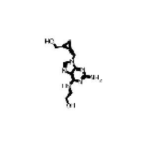 Nc1nc(NCCO)c2ncn(/C=C3/C[C@@H]3CO)c2n1